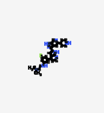 CN(C)CCNc1cc(F)cc(-c2ccnc3[nH]c(-c4n[nH]c5cnc(C6CCNCC6)cc45)cc23)c1